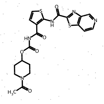 CC(=O)N1CCC(OC(=O)NC(=O)c2ccsc2NC(=O)c2nc3cnccc3s2)CC1